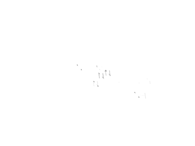 Cc1noc(N2C3CCC2CC(N2CCC4(CC2)CC(=O)NC4C(C)C)C3)n1